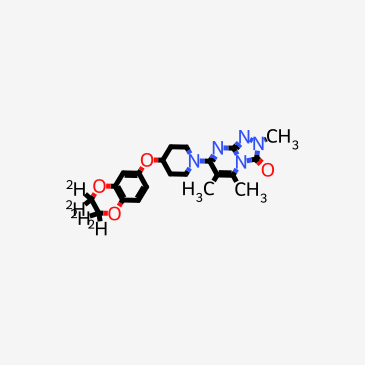 [2H]C1([2H])Oc2ccc(OC3CCN(c4nc5nn(C)c(=O)n5c(C)c4C)CC3)cc2OC1([2H])[2H]